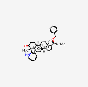 CC(=O)NC(OCc1ccccc1)C1CC[C@H]2[C@@H]3CC[C@H]4C(C)(C5=CC=CC=CN5)C(=O)CC[C@]4(C)[C@H]3CC[C@]12C